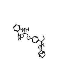 CCC(=NOC1CC2CCC1CC2)c1ccc(OCC(=O)Nc2ccccc2C#N)cc1